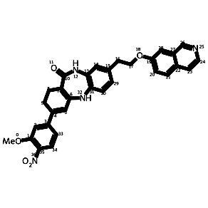 COc1cc(C2=CC3=C(CC2)C(=O)Nc2cc(CCOc4ccc5ccncc5c4)ccc2N3)ccc1[N+](=O)[O-]